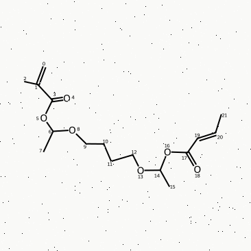 C=C(C)C(=O)OC(C)OCCCCOC(C)OC(=O)C=CC